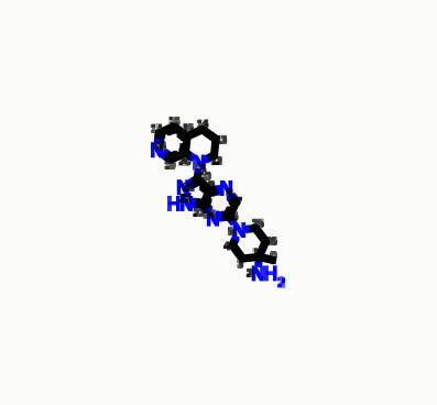 CC1(N)CCN(c2cnc3c(N4CCCc5ccncc54)n[nH]c3n2)CC1